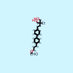 CCC(CO)(CO)CCc1ccc(-c2ccc(CCCOC=O)cc2)cc1